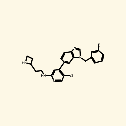 Fc1cccc(Cn2cnc3ccc(-c4cc(NCCC5CCN5)ncc4Cl)cc32)c1